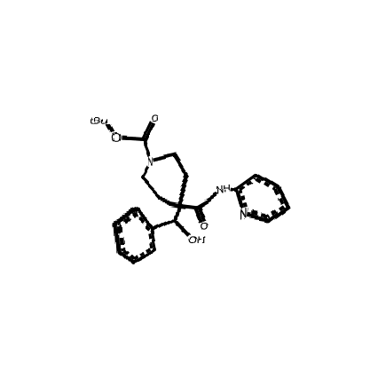 CC(C)(C)OC(=O)N1CCC(C(=O)Nc2ccccn2)(C(O)c2ccccc2)CC1